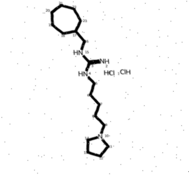 Cl.Cl.N=C(NCCCCCN1CCCC1)NCC1CCCCCC1